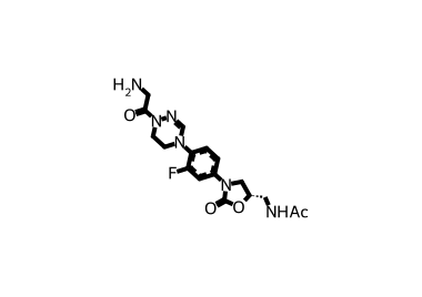 CC(=O)NC[C@H]1CN(c2ccc(N3C=NN(C(=O)CN)CC3)c(F)c2)C(=O)O1